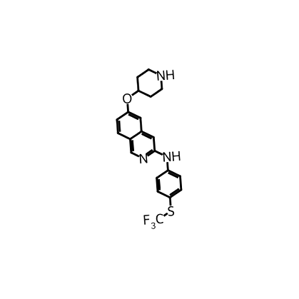 FC(F)(F)Sc1ccc(Nc2cc3cc(OC4CCNCC4)ccc3cn2)cc1